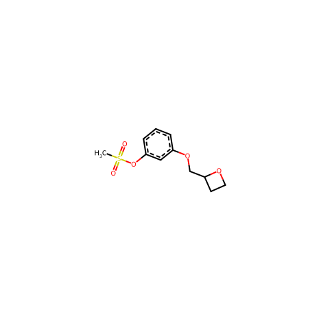 CS(=O)(=O)Oc1cccc(OCC2CCO2)c1